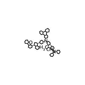 CC1(C)c2cc(N(c3ccccc3)c3ccccc3)ccc2-c2ccc(N(c3ccc(-c4ccc(-c5cccc6c5oc5ccccc56)c5ccccc45)cc3)c3ccc4c5ccccc5c5ccccc5c4c3)cc21